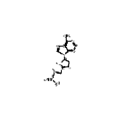 Nc1ncnc2c1ncn2[C@H]1CC[C@@H](CO[PH](=O)S)O1